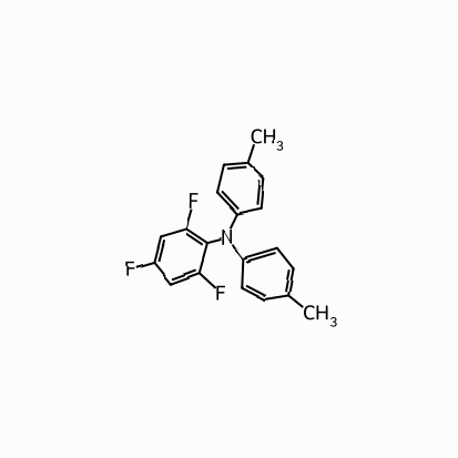 Cc1ccc(N(c2ccc(C)cc2)c2c(F)cc(F)cc2F)cc1